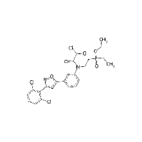 CCOP(=O)(CC)CCN(C(=O)C(Cl)Cl)c1cccc(-c2cc(-c3c(Cl)cccc3Cl)no2)c1